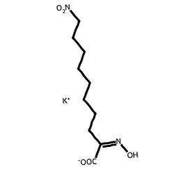 O=C([O-])/C(CCCCCCCC[N+](=O)[O-])=N\O.[K+]